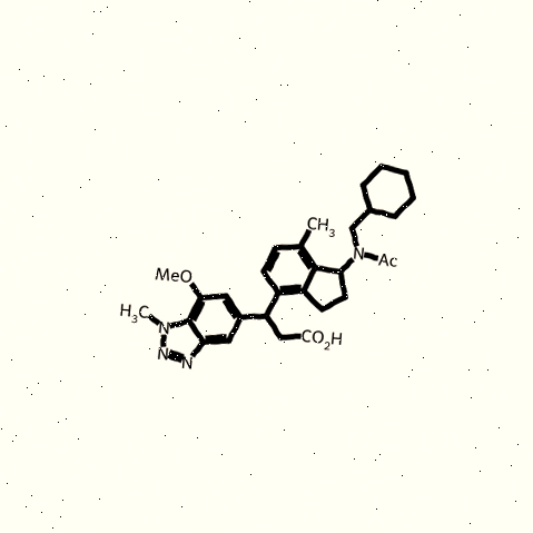 COc1cc(C(CC(=O)O)c2ccc(C)c3c2CCC3N(CC2CCCCC2)C(C)=O)cc2nnn(C)c12